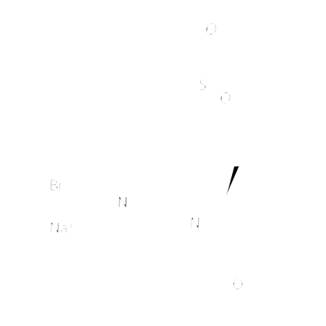 CC[C@H]1COCCN1c1cc(CS(=O)[O-])cc(Br)n1.[Na+]